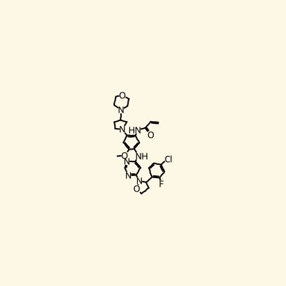 C=CC(=O)Nc1cc(Nc2cc(N3OCCC3c3ccc(Cl)cc3F)ncn2)c(OC)cc1N1CCC(N2CCOCC2)C1